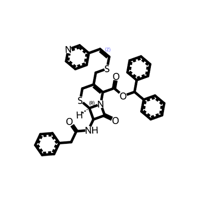 O=C(Cc1ccccc1)NC1C(=O)N2C(C(=O)OC(c3ccccc3)c3ccccc3)=C(CS/C=C\c3cccnc3)CS[C@H]12